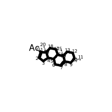 CC(=O)C1=CCC2C3CC=C4C[C@@H](C)CC[C@]4(C)C3CC[C@]12C